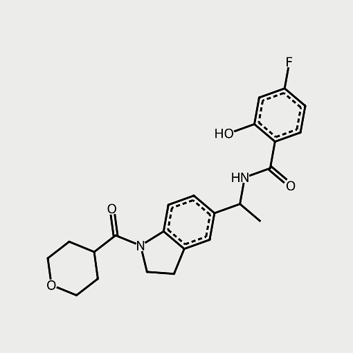 CC(NC(=O)c1ccc(F)cc1O)c1ccc2c(c1)CCN2C(=O)C1CCOCC1